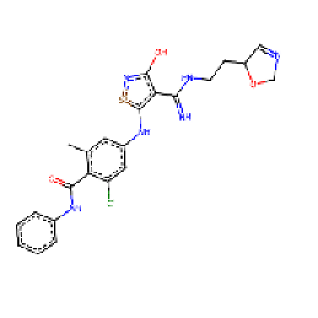 Cc1cc(Nc2snc(O)c2C(=N)NCCC2C=NCO2)cc(Cl)c1C(=O)Nc1ccccc1